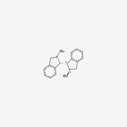 CC(C)(C)P1Cc2ccccc2C1[C@@H]1c2ccccc2C[P@@]1C(C)(C)C